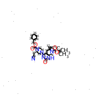 CC(C)(C)OC(=O)N1Cc2[nH]c(=O)nc(N3CCN(C(=O)OCc4ccccc4)[C@@H](CC#N)C3)c2CC12CC2